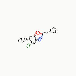 O=[N+]([O-])c1cc2oc(/C=C/c3ccccc3)nc2cc1Cl